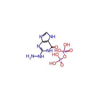 NNc1nc2nc[nH]c2c(=O)[nH]1.O=P(O)(O)OP(=O)(O)O